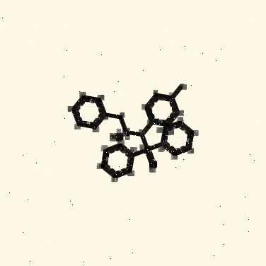 Cc1ccc(C(N(O)Cc2ccccc2)P(=O)(c2ccccc2)c2ccccc2)cc1